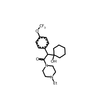 CCN1CCN(C(=O)C(c2ccc(OC(F)(F)F)cc2)C2(O)CCCCC2)CC1